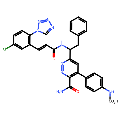 NC(=O)c1nnc(C(Cc2ccccc2)NC(=O)C=Cc2cc(Cl)ccc2-n2cnnn2)cc1-c1ccc(NC(=O)O)cc1